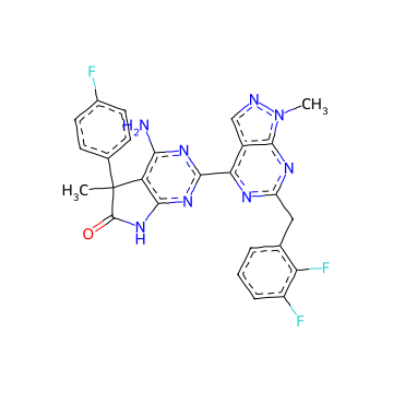 Cn1ncc2c(-c3nc(N)c4c(n3)NC(=O)C4(C)c3ccc(F)cc3)nc(Cc3cccc(F)c3F)nc21